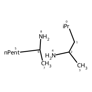 CC(C)CC(C)N.CCCCCC(C)N